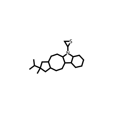 CC(C)C1(C)CC2CCC3C4CCCCC4N(C4CS4)C3CCC2C1